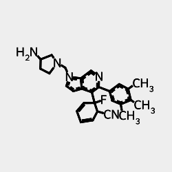 Cc1cc(-c2ncc3c(ccn3CN3CCC(N)C3)c2C2(F)C=CC=CC2C#N)cc(C)c1C